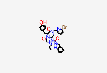 C=CCN1CC(=O)N2C(Cc3ccc(O)cc3)C(=O)N(Cc3cccc(Br)n3)CC2N1C(=O)NCc1ccccc1